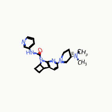 CN(C)[C@H]1CCN(c2ccc3c(n2)N(C(=O)Nc2cccnc2)C2CCC32)C1